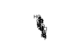 Cc1cnc(-n2c(C)ccc(C(C)(C)O)c2=O)cc1-n1c(C)cc(OCc2ncc(F)cc2F)c(Cl)c1=O